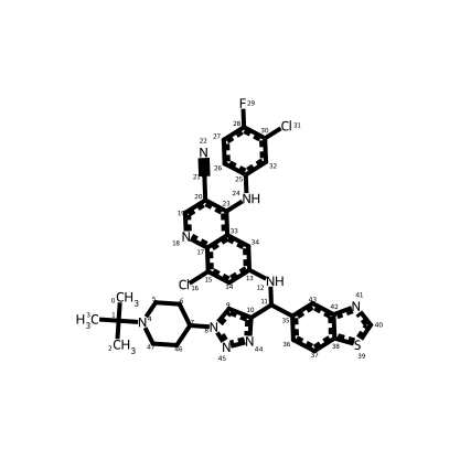 CC(C)(C)N1CCC(n2cc(C(Nc3cc(Cl)c4ncc(C#N)c(Nc5ccc(F)c(Cl)c5)c4c3)c3ccc4scnc4c3)nn2)CC1